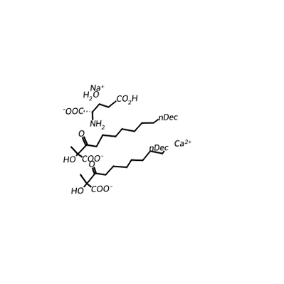 CCCCCCCCCCCCCCCCCC(=O)C(C)(O)C(=O)[O-].CCCCCCCCCCCCCCCCCC(=O)C(C)(O)C(=O)[O-].N[C@@H](CCC(=O)O)C(=O)[O-].O.[Ca+2].[Na+]